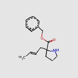 C/C=C/CC1(C(=O)OCc2ccccc2)CCCN1